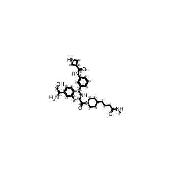 CNC(=O)CCCC1CCN(C(=O)[C@H](Cc2cccc(/C(N)=N\O)c2)NSc2cccc(NC(=O)C3CNC3)c2)CC1